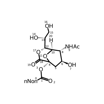 CCCCCCCCCC(=O)O[C@@]12C[C@H](O)[C@@H](NC(C)=O)[C@@H](O1)[C@@H]([C@H](O)CO)OC2=O